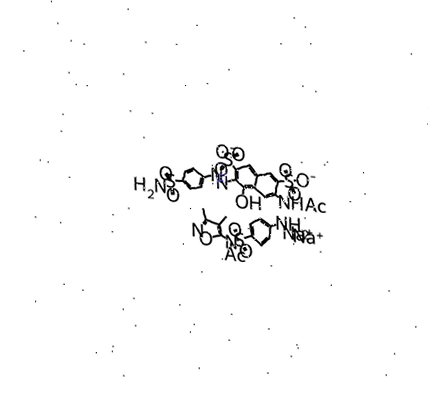 CC(=O)N(c1onc(C)c1C)S(=O)(=O)c1ccc(N)cc1.CC(=O)Nc1cc2c(O)c(/N=N/c3ccc(S(N)(=O)=O)cc3)c(S(=O)(=O)[O-])cc2cc1S(=O)(=O)[O-].[Na+].[Na+]